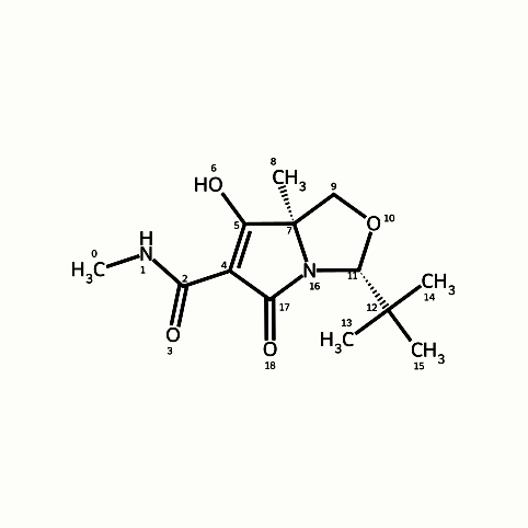 CNC(=O)C1=C(O)[C@@]2(C)CO[C@H](C(C)(C)C)N2C1=O